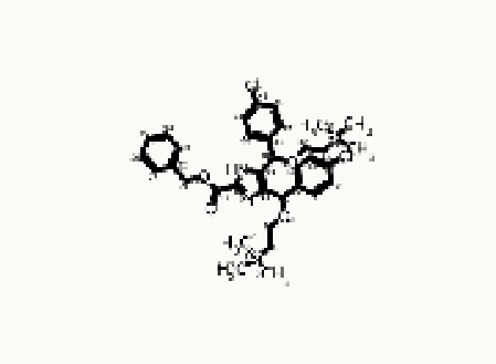 C[Si](C)(C)CCOC(c1ccc(Cl)cc1)c1nc(C(=O)OCc2ccccc2)[nH]c1C(OCC[Si](C)(C)C)c1ccc(Cl)cc1